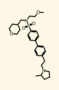 COCCN(CC1CCOCC1)S(=O)(=O)c1ccc(-c2ccc(CCN3CCCC3C)cc2)cc1